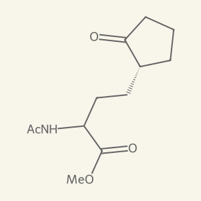 COC(=O)C(CC[C@H]1CCCC1=O)NC(C)=O